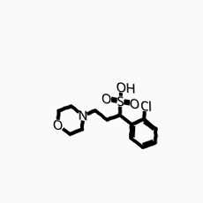 O=S(=O)(O)C(CCN1CCOCC1)c1ccccc1Cl